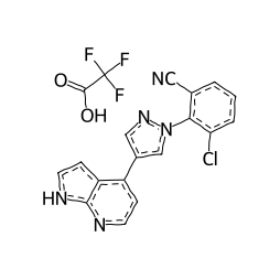 N#Cc1cccc(Cl)c1-n1cc(-c2ccnc3[nH]ccc23)cn1.O=C(O)C(F)(F)F